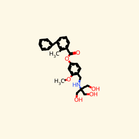 COc1cc(OC(=O)c2cccc(-c3ccccc3)c2C)ccc1CNC(CO)(CO)CO